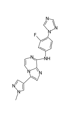 Cn1cc(-c2cnc3c(Nc4ccc(-n5cncn5)c(F)c4)nccn23)cn1